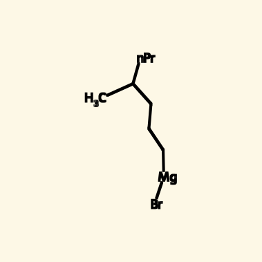 CCCC(C)CC[CH2][Mg][Br]